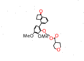 COc1ccc(-c2cccc3c2CCC3=O)c(OCCOC(=O)C2CCOCC2)c1OC